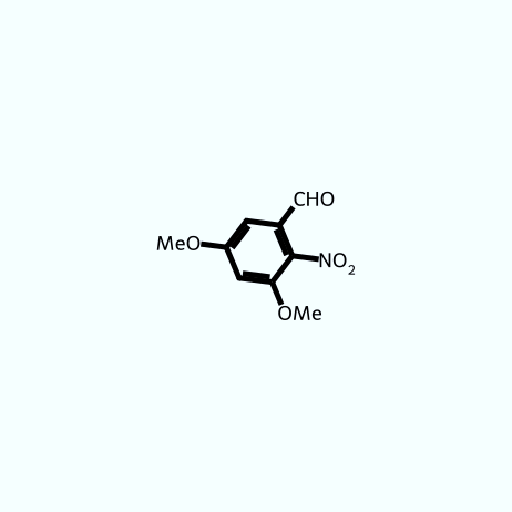 COc1cc(C=O)c([N+](=O)[O-])c(OC)c1